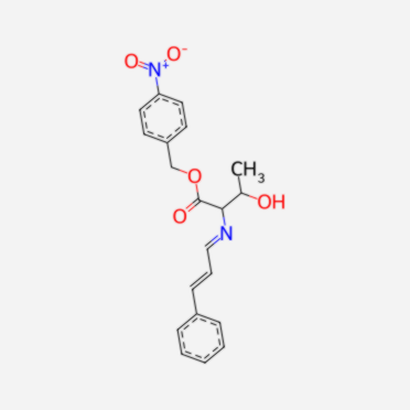 CC(O)C(N=CC=Cc1ccccc1)C(=O)OCc1ccc([N+](=O)[O-])cc1